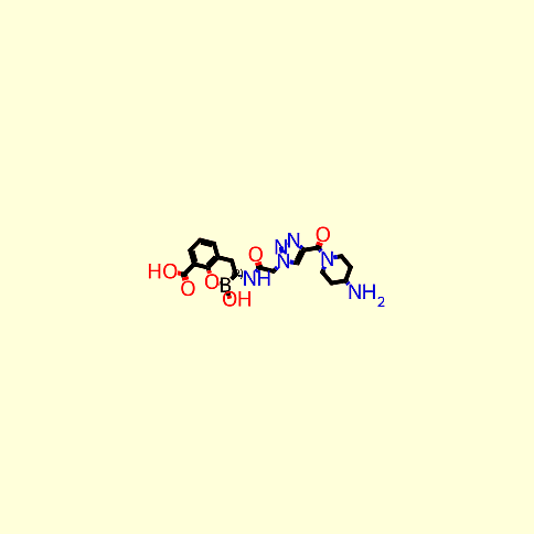 NC1CCN(C(=O)c2cn(CC(=O)N[C@H]3Cc4cccc(C(=O)O)c4OB3O)nn2)CC1